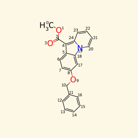 COC(=O)c1c2ccc(OCc3ccccc3)cc2n2ccccc12